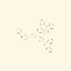 c1ccc(-n2c3ccccc3c3ccccc32)c(-c2ccc(N(c3ccc(-c4cc5ccccc5c5ccccc45)cc3)c3ccc(-c4cccc5c4oc4ccccc45)cc3)cc2)c1